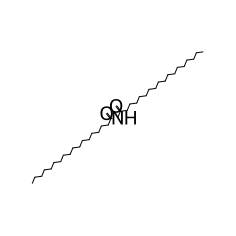 CCCCCCCCCCCCCCCCCC(=O)NC(=O)CCCCCCCCCCCCCCCCC